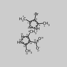 Cc1n[nH]c(C)c1Br.Cc1n[nH]c(C)c1[N+](=O)[O-]